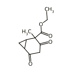 CCOC(=O)C1(C)C(=O)CC(=O)C2CC21